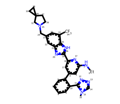 CCNc1cc(-c2ccccc2-c2nncn2C)cc(-c2nc3cc(CN4CCC5(CC5)C4)cc(C(F)(F)F)c3[nH]2)n1